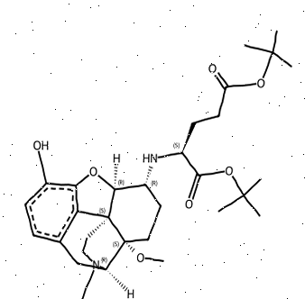 CO[C@@]12CC[C@@H](N[C@@H](CCC(=O)OC(C)(C)C)C(=O)OC(C)(C)C)[C@@H]3Oc4c(O)ccc5c4[C@@]31CCN(C)[C@@H]2C5